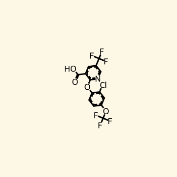 O=C(O)c1cc(C(F)(F)F)cnc1Oc1ccc(OC(F)(F)F)cc1Cl